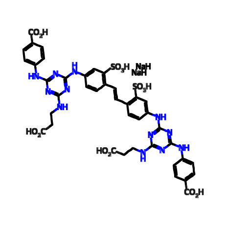 O=C(O)CCNc1nc(Nc2ccc(C(=O)O)cc2)nc(Nc2ccc(C=Cc3ccc(Nc4nc(NCCC(=O)O)nc(Nc5ccc(C(=O)O)cc5)n4)cc3S(=O)(=O)O)c(S(=O)(=O)O)c2)n1.[NaH].[NaH]